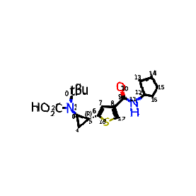 CC(C)(C)N(C(=O)O)[C@@H]1C[C@H]1c1cc(C(=O)NC2CCCC2)cs1